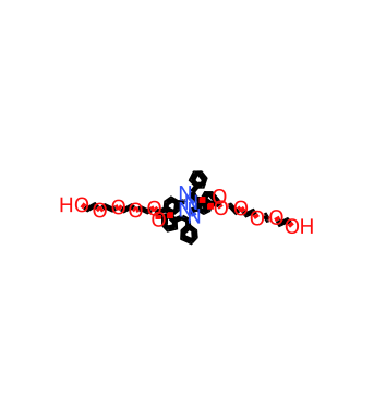 O=C(OCCOCCOCCOCCO)c1ccc(-c2nc(-c3ccccc3)c(-c3ccccc3)n2C2(c3ccc(C(=O)OCCOCCOCCOCCO)cc3)N=C(c3ccccc3)C(c3ccccc3)=N2)cc1